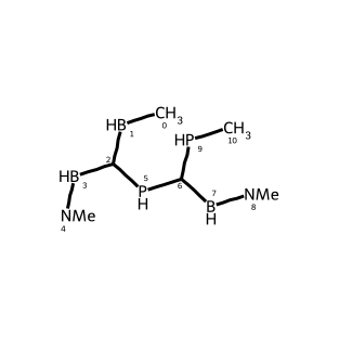 CBC(BNC)PC(BNC)PC